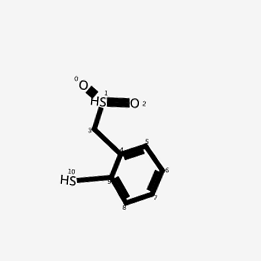 O=[SH](=O)Cc1ccccc1S